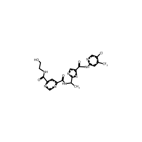 CC(NC(=O)c1cc(C(=O)NCCO)ncn1)c1ncc(C(=O)Nc2cc(C(F)(F)F)c(Cl)cn2)s1